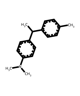 Cc1ccc(C(C)c2ccc(N(C)C)cc2)cc1